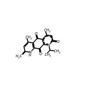 C=C1C=C(C)C2=C(N1)C(=O)c1c(c(C)cc(=O)n1C(C)C)C2=O